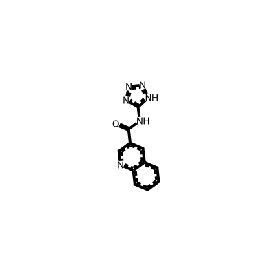 O=C(Nc1nnn[nH]1)c1cnc2ccccc2c1